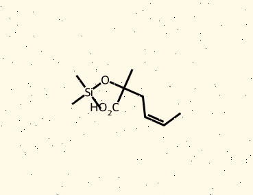 C/C=C\CC(C)(O[Si](C)(C)C)C(=O)O